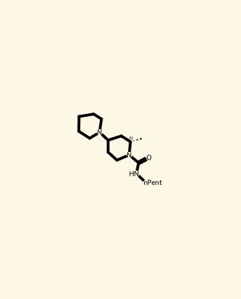 CCCCCNC(=O)N1CCC(N2CCCCC2)C[C@@H]1C